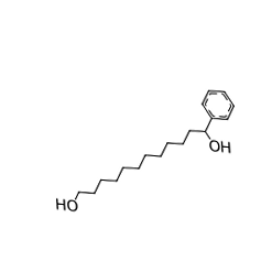 OCCCCCCCCCCCC(O)c1ccccc1